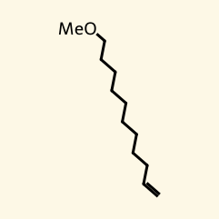 [CH2]OCCCCCCCCCC=C